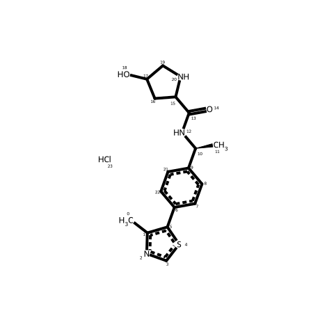 Cc1ncsc1-c1ccc([C@H](C)NC(=O)C2CC(O)CN2)cc1.Cl